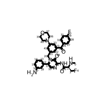 CN[C@@H](CF)C(=O)Nc1ncc(-c2cccc(N)c2)n(Cc2cc(C(=O)c3ccc(F)cc3)cc(N3CCOCC3)c2)c1=O